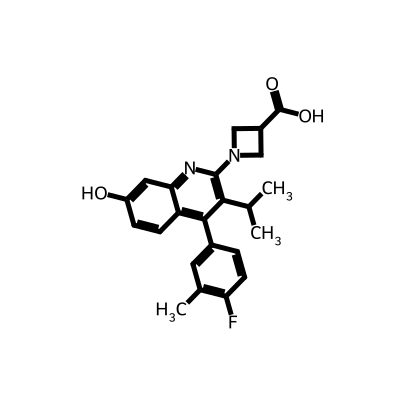 Cc1cc(-c2c(C(C)C)c(N3CC(C(=O)O)C3)nc3cc(O)ccc23)ccc1F